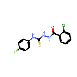 O=C(NNC(=S)Nc1ccc(F)cc1)c1ccccc1Cl